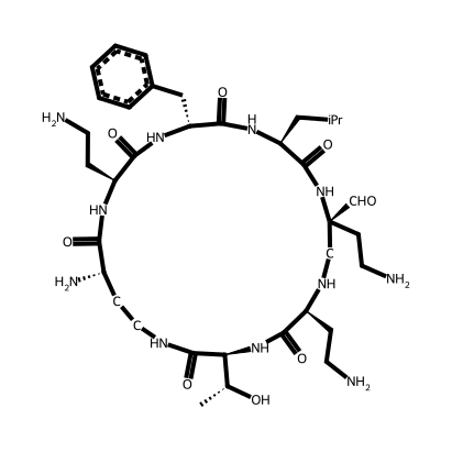 CC(C)C[C@@H]1NC(=O)[C@@H](Cc2ccccc2)NC(=O)[C@H](CCN)NC(=O)[C@@H](N)CCNC(=O)[C@H]([C@@H](C)O)NC(=O)[C@H](CCN)NC[C@@](C=O)(CCN)NC1=O